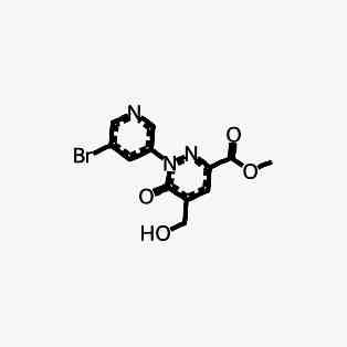 COC(=O)c1cc(CO)c(=O)n(-c2cncc(Br)c2)n1